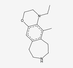 CCN1CCOc2cc3c(c(C)c21)CCNCC3